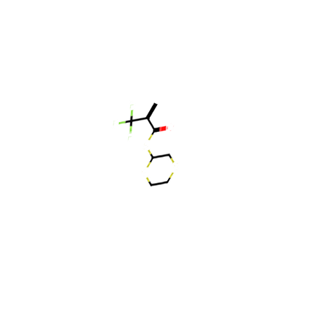 C=C(C(=O)SC1CSCCS1)C(F)(F)F